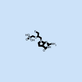 Nc1nc2c(ccn2CC(CF)OCP(=O)(O)O)c(=O)[nH]1